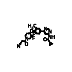 Cc1cc(-c2cc(NC(=O)C3CC3)ncn2)ccc1O[C@H]1CCN(C(=O)CC#N)CC1(F)F